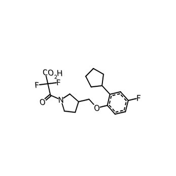 O=C(O)C(F)(F)C(=O)N1CCC(COc2ccc(F)cc2C2CCCC2)C1